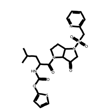 CC(C)CC(NC(=O)Oc1cccs1)C(=O)N1CCC2C1C(=O)CN2S(=O)(=O)Cc1ccccn1